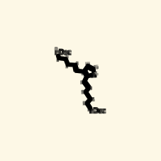 CCCCCCCCCCCCCC=CC1=C(C=CCCCCCCCCCCCCC)[N]C=C1